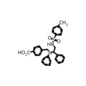 Cc1ccc(S(=O)(=O)NCC(c2ccccc2)N(Cc2ccc(C(=O)O)cc2)c2ccccc2)cc1